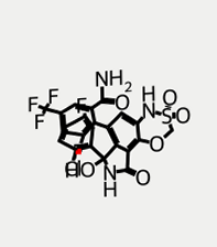 NC(=O)c1cc(C(F)(F)F)cc(F)c1-c1cc2c(c3c1C(O)(c1cc(F)ccc1Cl)NC3=O)OCS(=O)(=O)N2